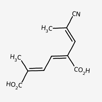 CC(C#N)=CC(=CC=C(C)C(=O)O)C(=O)O